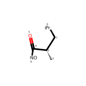 CC(C)C[C@H](C)C(=O)N=O